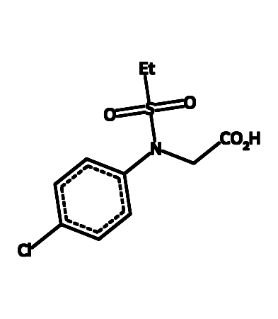 CCS(=O)(=O)N(CC(=O)O)c1ccc(Cl)cc1